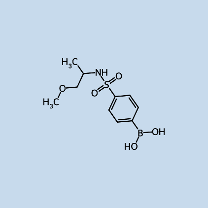 COCC(C)NS(=O)(=O)c1ccc(B(O)O)cc1